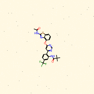 CC(=O)Nc1nc2c(Oc3cc(-c4ccc(C(F)(F)F)cc4NC(=O)C(C)(C)C)ncn3)cccc2s1